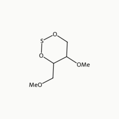 COCC1OSOCC1OC